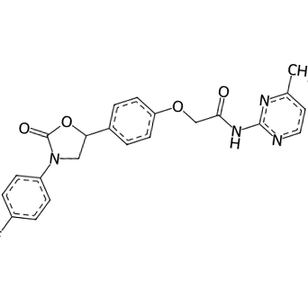 Cc1ccnc(NC(=O)COc2ccc(C3CN(c4ccc(F)cc4)C(=O)O3)cc2)n1